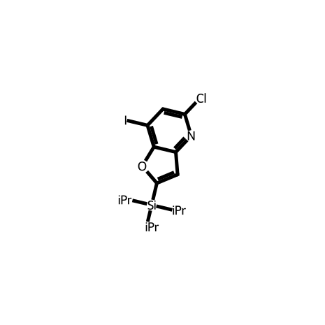 CC(C)[Si](c1cc2nc(Cl)cc(I)c2o1)(C(C)C)C(C)C